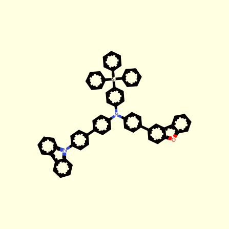 c1ccc([Si](c2ccccc2)(c2ccccc2)c2ccc(N(c3ccc(-c4ccc(-n5c6ccccc6c6ccccc65)cc4)cc3)c3ccc(-c4ccc5oc6ccccc6c5c4)cc3)cc2)cc1